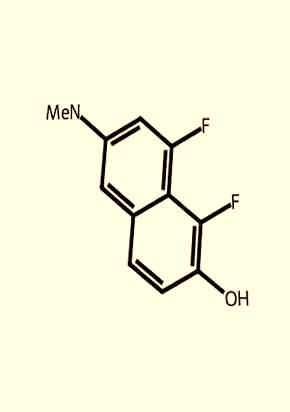 CNc1cc(F)c2c(F)c(O)ccc2c1